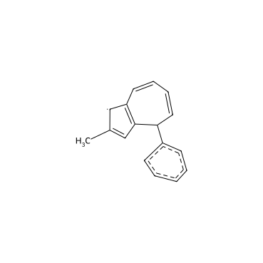 CC1=CC2=C([CH]1)C=CC=CC2c1ccccc1